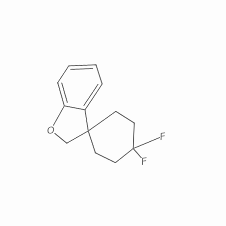 FC1(F)CCC2(CC1)COc1ccccc12